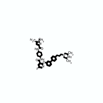 Cc1cc(C(=O)NC2CCC(NC(=O)c3cc(F)cnc3Oc3cccc(-c4ccc(CCCN5C[C@@H](C)N[C@@H](C)C5)cc4)c3)CC2)nn1C